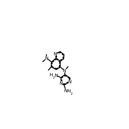 Cc1cc(N(C)c2cnc(N)nc2N)c2cccnc2c1N(C)C